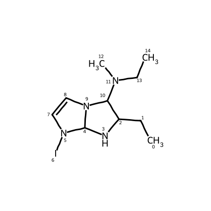 CCC1NC2N(I)C=CN2C1N(C)CC